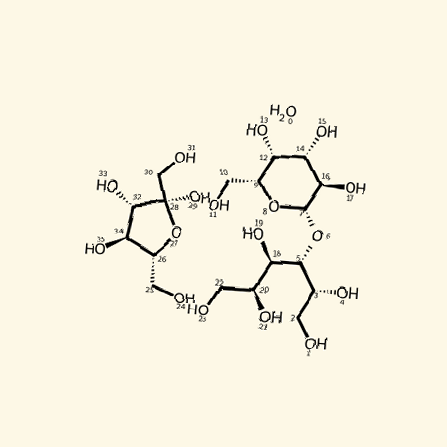 O.OC[C@@H](O)[C@@H](O[C@@H]1O[C@H](CO)[C@H](O)[C@H](O)[C@H]1O)[C@H](O)[C@@H](O)CO.OC[C@H]1O[C@](O)(CO)[C@@H](O)[C@@H]1O